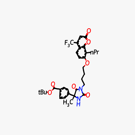 CCCc1c(OCCCCN2C(=O)NC(C)(c3ccc(C(=O)OC(C)(C)C)cc3)C2=O)ccc2c(C(F)(F)F)cc(=O)oc12